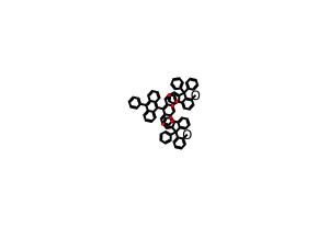 c1ccc(-c2c3ccccc3c(-c3c4cccc(-c5cccc6c5C(c5ccccc5)(c5ccccc5)c5ccccc5O6)c4cc4c(-c5cccc6c5C(c5ccccc5)(c5ccccc5)c5ccccc5O6)cccc34)c3ccccc23)cc1